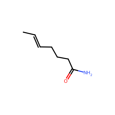 CC=CCCCC(N)=O